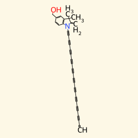 C#CC#CC#CC#CC#CC#CC#CC#CC#CC#CC#CN1C(=C)C(C)(C)c2cc(CO)ccc21